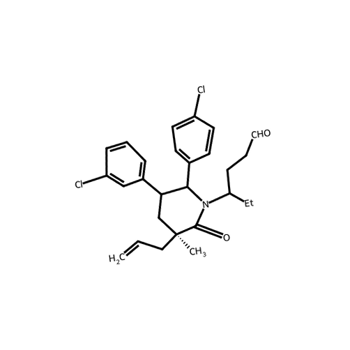 C=CC[C@@]1(C)CC(c2cccc(Cl)c2)C(c2ccc(Cl)cc2)N(C(CC)CCC=O)C1=O